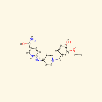 CCOc1cc(CN2CCC(Nc3ccc(C(N)=O)cn3)CC2)ccc1O